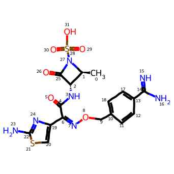 C[C@H]1[C@H](NC(=O)C(=NOCc2ccc(C(=N)N)cc2)c2csc(N)n2)C(=O)N1S(=O)(=O)O